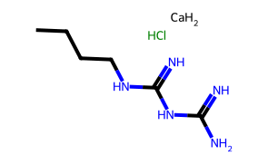 CCCCNC(=N)NC(=N)N.Cl.[CaH2]